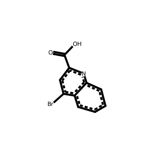 O=C(O)c1cc(Br)c2ccccc2n1